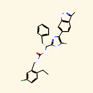 CCc1ccc(Cl)cc1CNC(=O)N[C@@H](Cc1ccccc1)c1nc(-c2ccc3c(C)n[nH]c3c2)c(Cl)[nH]1